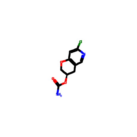 NC(=O)O[C@H]1COc2cc(Cl)ncc2C1